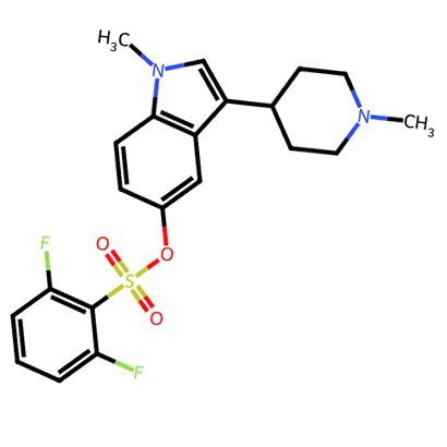 CN1CCC(c2cn(C)c3ccc(OS(=O)(=O)c4c(F)cccc4F)cc23)CC1